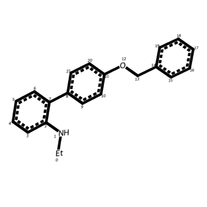 CCNc1ccccc1-c1ccc(OCc2ccccc2)cc1